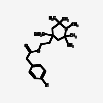 CCOC(=O)C1(CCOC(=O)Cc2ccc(Cl)cc2)CC(C)(C)N(C)C(C)(C)C1